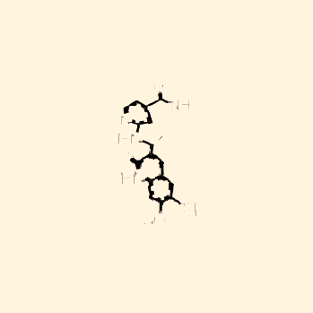 CC(C)Oc1cc2[nH]c(=O)c([C@H](C)Nc3cc(C(N)=O)ccn3)cc2cc1Cl